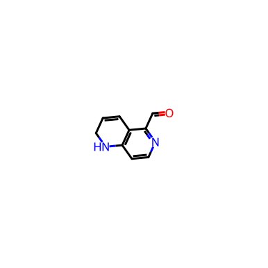 O=Cc1nccc2c1C=CCN2